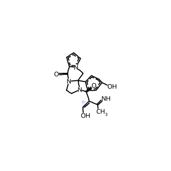 CC(=N)/C(=C\O)C(=O)N1CCN2C(=O)c3cccn3CC12c1ccc(O)cc1